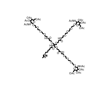 CC(=O)NC1C(OCCOCCOCCOCCNC(=O)CCOCC(COCCC(=O)NCCOCCOCCOCCOC2OC(COC(C)=O)C(OC(C)=O)C(OC(C)=O)C2NC(C)=O)(COCCC(=O)NCCOCCOCCOCCOC2OC(COC(C)=O)C(OC(C)=O)C(OC(C)=O)C2NC(C)=O)NC(=O)CCCCCn2cc(C)nn2)OC(COC(C)=O)C(OC(C)=O)C1OC(C)=O